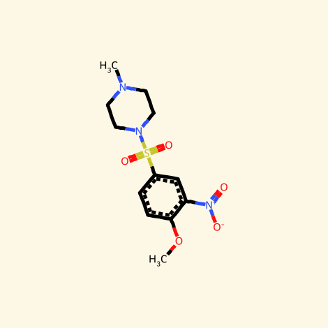 COc1ccc(S(=O)(=O)N2CCN(C)CC2)cc1[N+](=O)[O-]